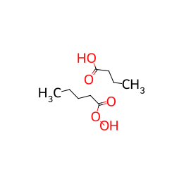 CCCC(=O)O.CCCCC(=O)OO